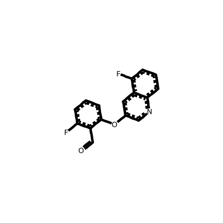 O=Cc1c(F)cccc1Oc1cnc2cccc(F)c2c1